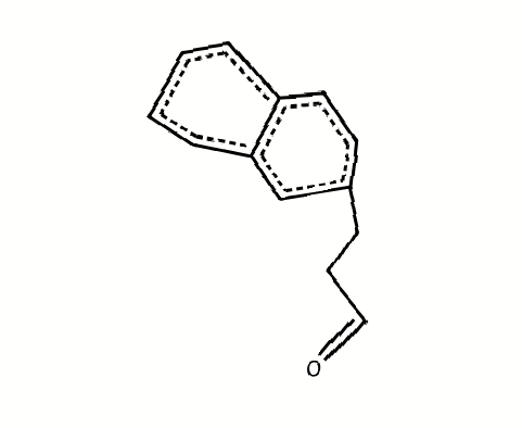 O=CCCc1ccc2ccccc2c1